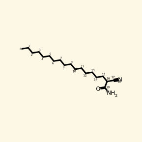 CCCCCCCCCCCCCCCCC(C#N)C(N)=O